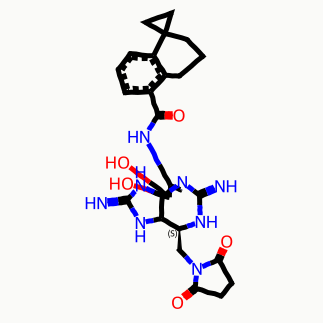 N=C1NC2[C@H](CN3C(=O)CCC3=O)NC(=N)N3CC(NC(=O)c4cccc5c4CCCC54CC4)C(O)(O)C23N1